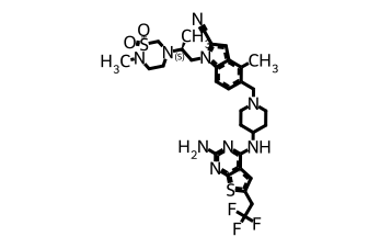 Cc1c(CN2CCC(Nc3nc(N)nc4sc(CC(F)(F)F)cc34)CC2)ccc2c1cc(C#N)n2C[C@H](C)N1CCN(C)S(=O)(=O)C1